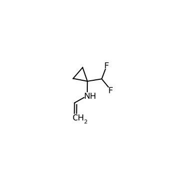 C=CNC1(C(F)F)CC1